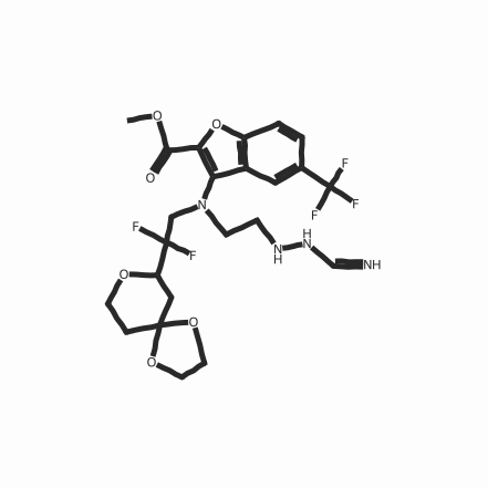 COC(=O)c1oc2ccc(C(F)(F)F)cc2c1N(CCNNC=N)CC(F)(F)C1CC2(CCO1)OCCO2